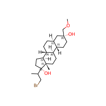 COC[C@@]1(O)CC[C@H]2[C@@H](CC[C@@H]3[C@@H]2CC[C@@]2(C)[C@H]3CC[C@]2(O)C(C)CBr)C1